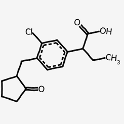 CCC(C(=O)O)c1ccc(CC2CCCC2=O)c(Cl)c1